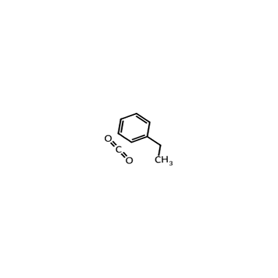 CCc1ccccc1.O=C=O